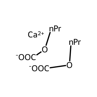 CCCOC(=O)[O-].CCCOC(=O)[O-].[Ca+2]